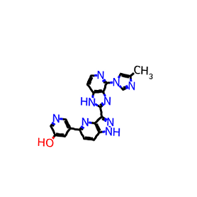 Cc1cn(-c2nccc3[nH]c(-c4n[nH]c5ccc(-c6cncc(O)c6)nc45)nc23)cn1